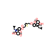 O=C(Cc1ccc(CCOc2ccc3c4c2O[C@H]2C(=O)CC[C@@]5(O)[C@@H](C3)C(CC3CC3)CC[C@]425)s1)Oc1ccc2c3c1O[C@H]1C(=O)CC[C@@]4(O)[C@@H](C2)N(CC2CC2)CC[C@]314